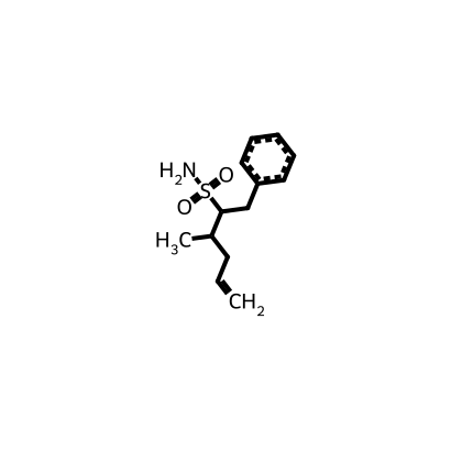 C=CCC(C)C(Cc1ccccc1)S(N)(=O)=O